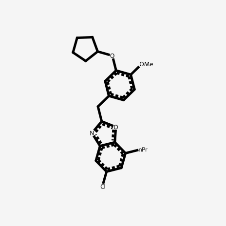 CCCc1cc(Cl)cc2nc(Cc3ccc(OC)c(OC4CCCC4)c3)oc12